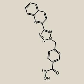 O=C(NO)c1ccc(Cn2nnc(-c3ccc4ccccc4n3)n2)cc1